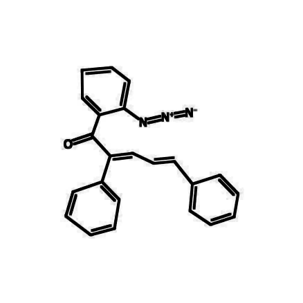 [N-]=[N+]=Nc1ccccc1C(=O)C(=CC=Cc1ccccc1)c1ccccc1